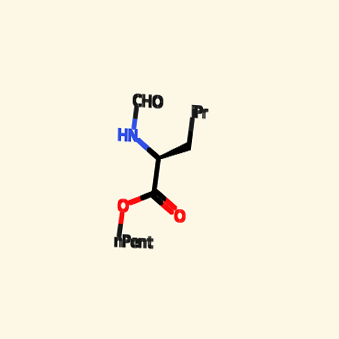 CCCCCOC(=O)[C@H](CC(C)C)NC=O